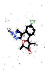 C=C1OC(c2ccc(Cl)cc2-c2cnn(C)c2)C(C)C1=O